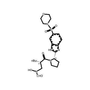 CCCC[C@@H](CN(O)C=O)C(=O)N1CCC[C@H]1c1nc2ccc(S(=O)(=O)N3CCOCC3)cc2[nH]1